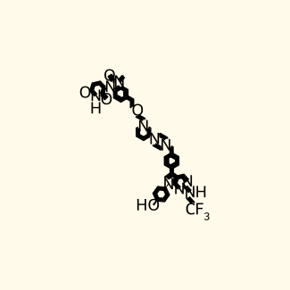 Cn1c(=O)n(C2CCC(=O)NC2=O)c2ccc(CCOCCN3CCCC(N4CCN(Cc5ccc(-c6cn([C@H]7CC[C@H](O)CC7)c7nc(NCCC(F)(F)F)ncc67)cc5)CC4)C3)cc21